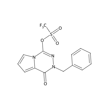 O=c1c2cccn2c(OS(=O)(=O)C(F)(F)F)nn1Cc1ccccc1